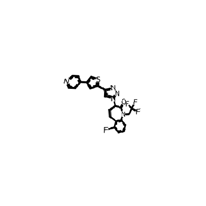 O=C1C(n2cc(-c3cc(-c4ccncc4)cs3)nn2)CCc2c(F)cccc2N1CC(F)(F)F